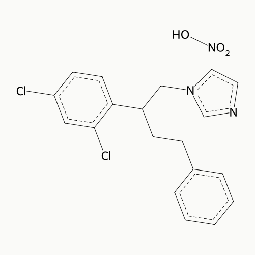 Clc1ccc(C(CCc2ccccc2)Cn2ccnc2)c(Cl)c1.O=[N+]([O-])O